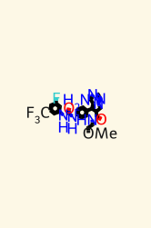 COCCNC(=O)C1CN2N=CN=C(N)C2=C1c1ccc(NC(=O)Nc2cc(F)cc(C(F)(F)F)c2)cc1